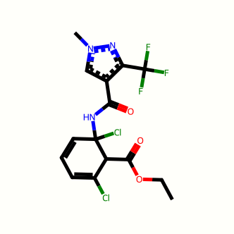 CCOC(=O)C1C(Cl)=CC=CC1(Cl)NC(=O)c1cn(C)nc1C(F)(F)F